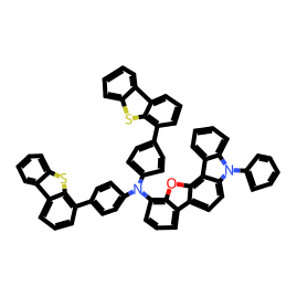 c1ccc(-n2c3ccccc3c3c4oc5c(N(c6ccc(-c7cccc8c7sc7ccccc78)cc6)c6ccc(-c7cccc8c7sc7ccccc78)cc6)cccc5c4ccc32)cc1